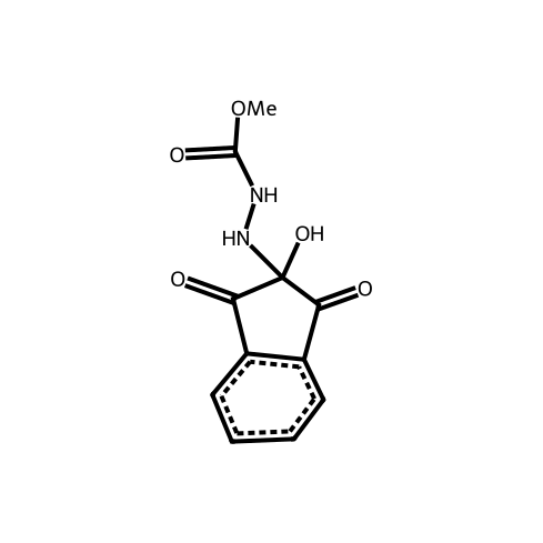 COC(=O)NNC1(O)C(=O)c2ccccc2C1=O